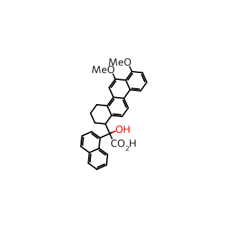 COc1cccc2c1c(OC)cc1c3c(ccc12)C(C(O)(C(=O)O)c1cccc2ccccc12)CCC3